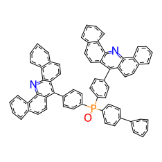 O=P(c1ccc(-c2ccccc2)cc1)(c1ccc(-c2c3ccc4ccccc4c3nc3c2ccc2ccccc23)cc1)c1ccc(-c2c3ccc4ccccc4c3nc3c2ccc2ccccc23)cc1